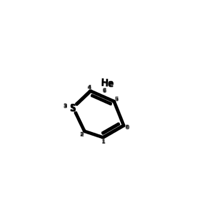 C1=CCSC=C1.[He]